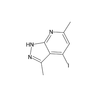 Cc1cc(I)c2c(C)n[nH]c2n1